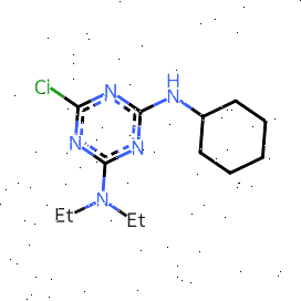 CCN(CC)c1nc(Cl)nc(NC2CCCCC2)n1